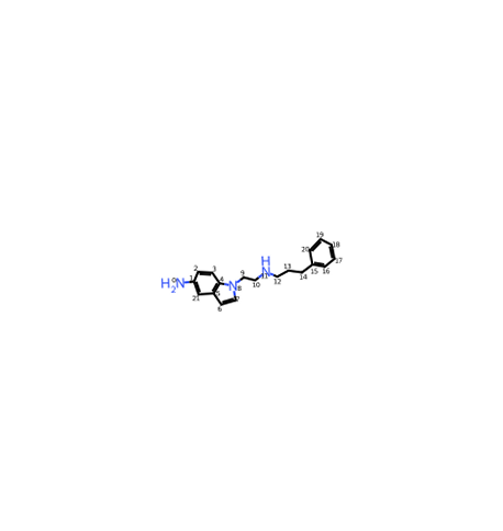 Nc1ccc2c(ccn2CCNCCCc2ccccc2)c1